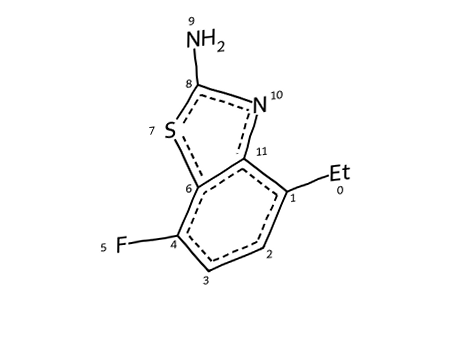 CCc1ccc(F)c2sc(N)nc12